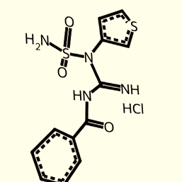 Cl.N=C(NC(=O)c1ccccc1)N(c1ccsc1)S(N)(=O)=O